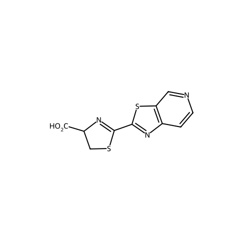 O=C(O)C1CSC(c2nc3ccncc3s2)=N1